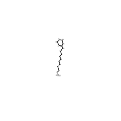 CC(C)(C)CCCCCCCCCCN1CCCCC1